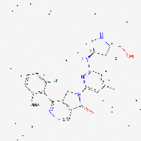 COc1cccc(F)c1-c1nccc2c1CN(c1cc(C)cc(N[C@H]3CN[C@H](CO)C3)n1)C2=O